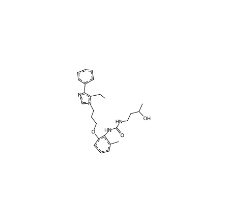 CCc1c(-c2ccccc2)ncn1CCCOc1cccc(C)c1NC(=O)NCCC(C)O